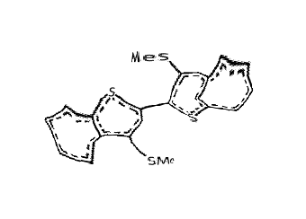 CSc1c(-c2sc3ccccc3c2SC)sc2ccccc12